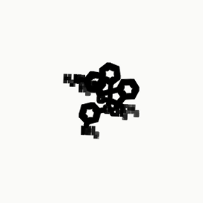 CC1(C)CC2(c3ccccc31)c1ccccc1C(C)(C)C2(Oc1cccc(N)c1)Oc1cccc(N)c1